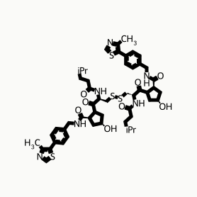 Cc1ncsc1-c1ccc(CNC(=O)[C@H]2C[C@H](O)CC2C(=O)[C@@H](CSSC[C@H](NC(=O)CCC(C)C)C(=O)C2C[C@H](O)C[C@H]2C(=O)NCc2ccc(-c3scnc3C)cc2)NC(=O)CCC(C)C)cc1